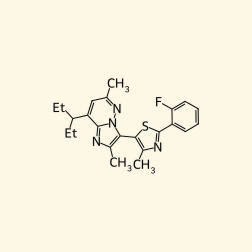 CCC(CC)c1cc(C)nn2c(-c3sc(-c4ccccc4F)nc3C)c(C)nc12